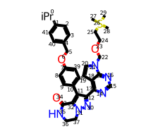 CC(C)c1ccc(COc2ccc(-c3c(-c4ncnc5c4ccn5COCCS(C)(C)C)nn4c3C(=O)NCC4)cc2)cc1